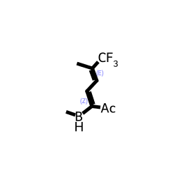 CB/C(=C/C=C(\C)C(F)(F)F)C(C)=O